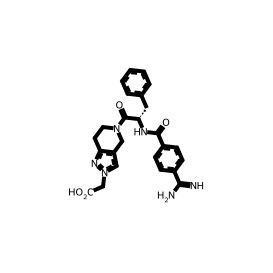 N=C(N)c1ccc(C(=O)N[C@@H](Cc2ccccc2)C(=O)N2CCc3nn(CC(=O)O)cc3C2)cc1